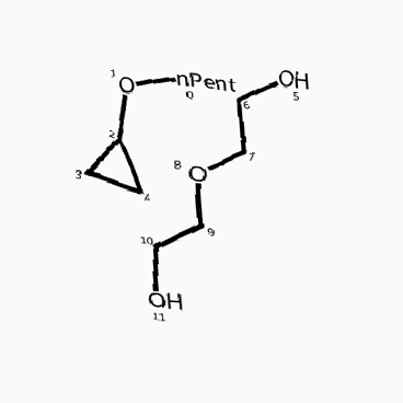 CCCCCOC1CC1.OCCOCCO